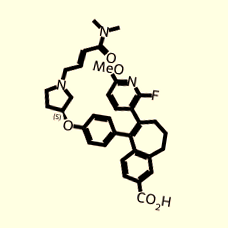 COc1ccc(C2=C(c3ccc(O[C@H]4CCN(CC=CC(=O)N(C)C)C4)cc3)c3ccc(C(=O)O)cc3CCC2)c(F)n1